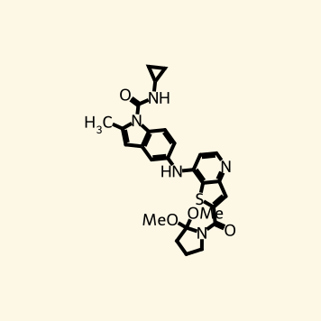 COC1(OC)CCCN1C(=O)c1cc2nccc(Nc3ccc4c(c3)cc(C)n4C(=O)NC3CC3)c2s1